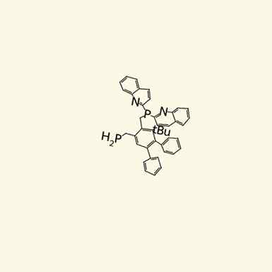 CC(C)(C)c1c(CP(c2ccc3ccccc3n2)c2ccc3ccccc3n2)c(CP)cc(-c2ccccc2)c1-c1ccccc1